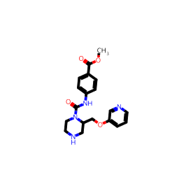 COC(=O)c1ccc(NC(=O)N2CCNCC2COc2cccnc2)cc1